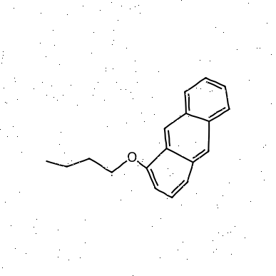 CCC[CH]Oc1cccc2cc3ccccc3cc12